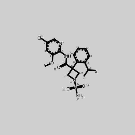 COc1cc(Cl)cnc1NC(=O)C1(c2ccccc2C(C)C)CN(S(N)(=O)=O)C1